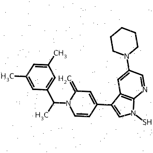 C=C1C=C(c2cn(S)c3ncc(N4CCCCC4)cc23)C=CN1C(C)c1cc(C)cc(C)c1